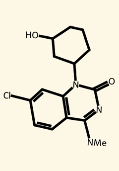 CNc1nc(=O)n(C2CCCC(O)C2)c2cc(Cl)ccc12